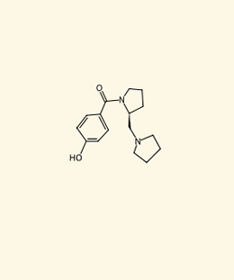 O=C(c1ccc(O)cc1)N1CCC[C@H]1CN1CCCC1